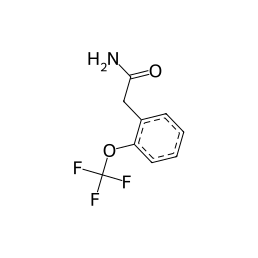 NC(=O)Cc1ccccc1OC(F)(F)F